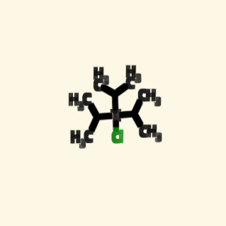 C[CH](C)[Ti]([Cl])([CH](C)C)[CH](C)C